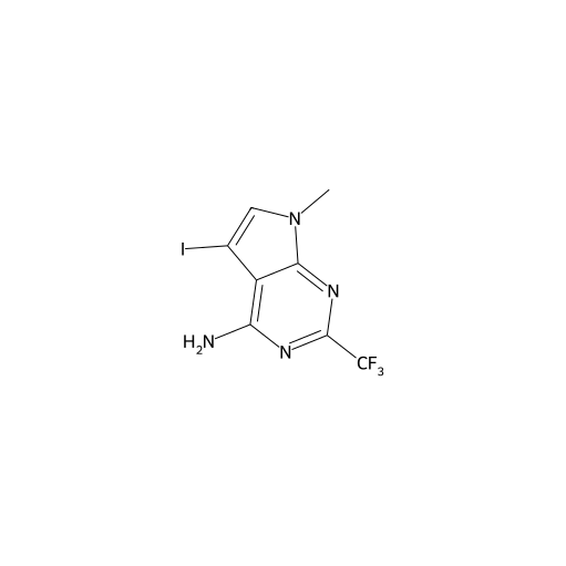 Cn1cc(I)c2c(N)nc(C(F)(F)F)nc21